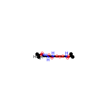 O=C(CCC(=O)NCCCOCCOCCOCCCNC(=O)OCC1c2ccccc2-c2ccccc21)NCCCCC(NC(=O)OCC1c2ccccc2-c2ccccc21)C(=O)O